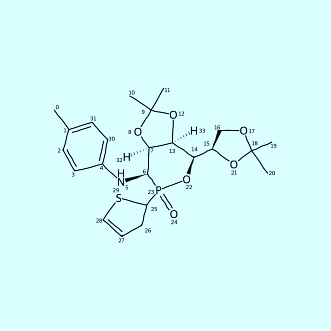 Cc1ccc(N[C@H]2[C@H]3OC(C)(C)O[C@H]3[C@@H]([C@H]3COC(C)(C)O3)OP2(=O)C2CC=CS2)cc1